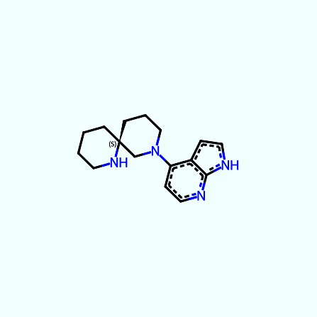 c1cc(N2CCC[C@@]3(CCCCN3)C2)c2cc[nH]c2n1